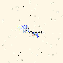 Cc1cc2cn(-c3ccc(CN4CCC[C@H](NC(=N)N)C4)cc3)c(=O)nc2[nH]1